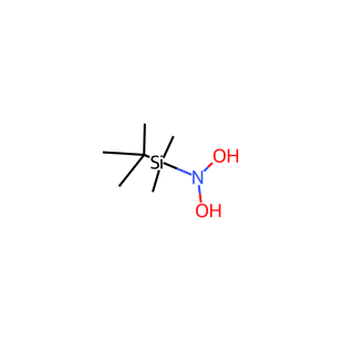 CC(C)(C)[Si](C)(C)N(O)O